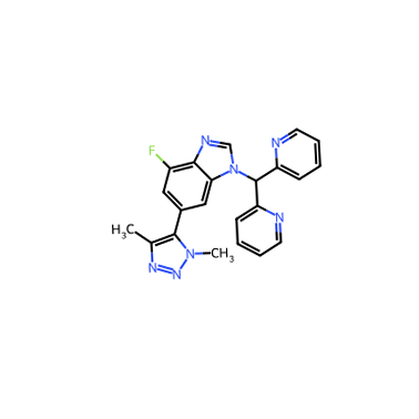 Cc1nnn(C)c1-c1cc(F)c2ncn(C(c3ccccn3)c3ccccn3)c2c1